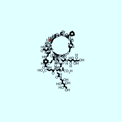 CC(C)C[C@@H]1NC(=O)[C@H](Cc2ccccc2)NC(=O)c2cnc(cn2)CSSC[C@@H](C(=O)O)NC(=O)[C@@H](NC(=O)[C@H](CCC(=O)O)NC(=O)[C@H](CCC(=O)NC[C@H](O)[C@@H](O)[C@H](O)[C@H](O)CO)NC(=O)[C@H](CCC(=O)O)NC(=O)[C@H](CCC(=O)NC[C@H](O)[C@@H](O)[C@H](O)[C@H](O)CO)NC(=O)CC[C@H](NC(=O)c2ccc(NCc3cnc4nc(N)[nH]c(=O)c4n3)cc2)C(=O)O)CCC(=O)NC[C@H](O)[C@@H](O)[C@H](O)[C@H]2COB1O2